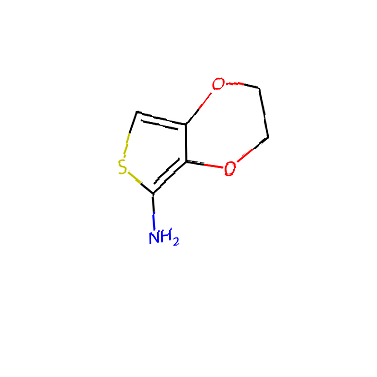 Nc1scc2c1OCCO2